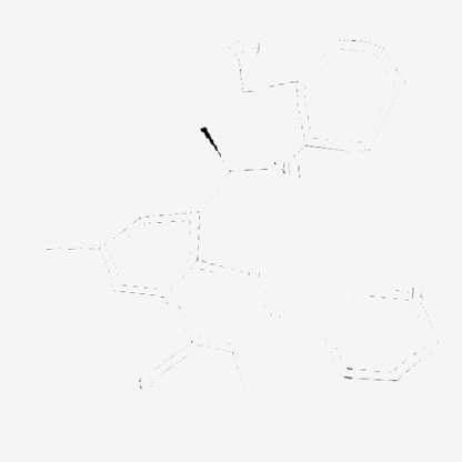 Cc1cc([C@@H](C)Nc2ccccc2CO)c2oc(-c3cccnc3)c(C)c(=O)c2c1